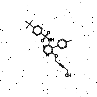 Cc1ccc(-c2c(NS(=O)(=O)c3ccc(C(C)(C)C)cc3)ncnc2OCC#CCO)cc1